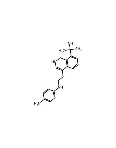 CC(C)(O)c1cccc2c1CNC=C2CCNc1ccc(N)cc1